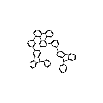 c1ccc(-n2c3ccccc3c3cc(-c4cccc(-c5cccc6c5c5ccccc5c5cccc(-c7cccc(-c8ccc9c(c8)c8ccccc8n9-c8ccccc8)c7)c56)c4)ccc32)cc1